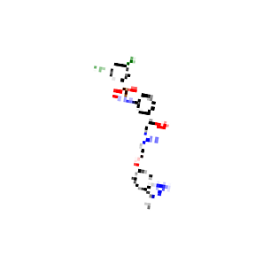 CCc1n[nH]c2cc(OCCNC[C@H](O)c3cccc(NS(=O)(=O)c4cc(Cl)cc(Cl)c4)c3)ccc12